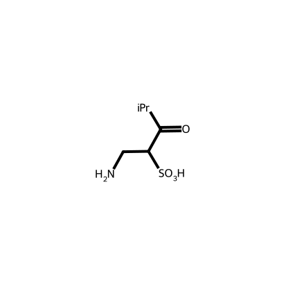 CC(C)C(=O)C(CN)S(=O)(=O)O